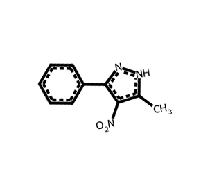 Cc1[nH]nc(-c2ccccc2)c1[N+](=O)[O-]